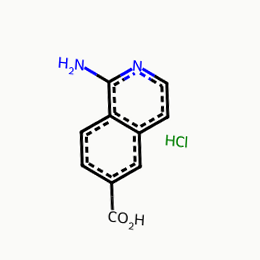 Cl.Nc1nccc2cc(C(=O)O)ccc12